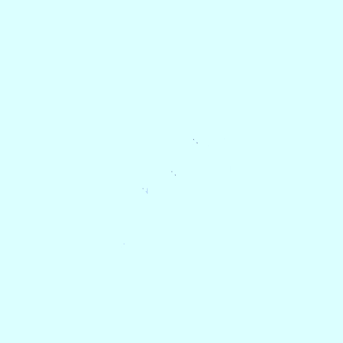 O=C(CC(F)(F)F)N1c2ccccc2CCC1CN1CCN(c2cccc3c2OCCO3)CC1